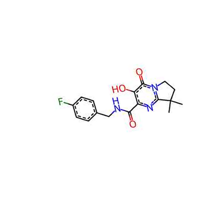 CC1(C)CCn2c1nc(C(=O)NCc1ccc(F)cc1)c(O)c2=O